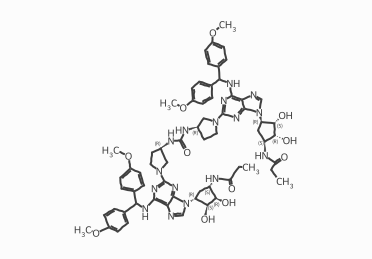 CCC(=O)N[C@H]1C[C@@H](n2cnc3c(NC(c4ccc(OC)cc4)c4ccc(OC)cc4)nc(N4CC[C@@H](NC(=O)N[C@@H]5CCN(c6nc(NC(c7ccc(OC)cc7)c7ccc(OC)cc7)c7ncn([C@@H]8C[C@H](NC(=O)CC)[C@@H](O)[C@H]8O)c7n6)C5)C4)nc32)[C@H](O)[C@@H]1O